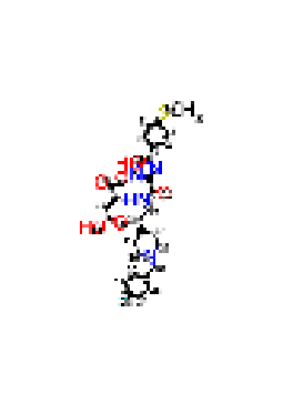 CSc1ccc(-c2nc(C(=O)NCCC3CCN(Cc4ccc(F)cc4)CC3)no2)cc1.O=C(O)/C=C/C(=O)O